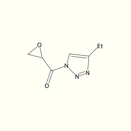 CCc1cn(C(=O)C2CO2)nn1